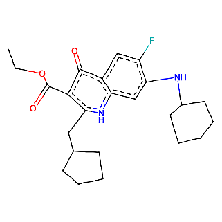 CCOC(=O)c1c(CC2CCCC2)[nH]c2cc(NC3CCCCC3)c(F)cc2c1=O